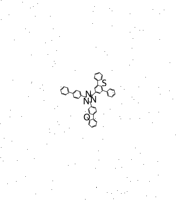 c1ccc(-c2ccc(-c3nc(-c4ccc5c(c4)oc4ccccc45)nc(-c4cc(-c5ccccc5)c5sc6ccccc6c5c4)n3)cc2)cc1